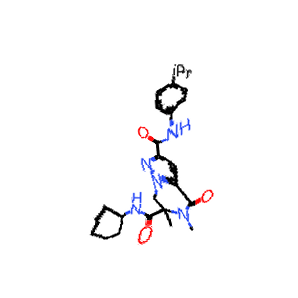 CC(C)c1ccc(NC(=O)c2cc3n(n2)CC(C)(C(=O)NC2CCCCC2)N(C)C3=O)cc1